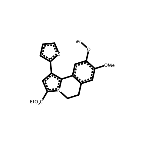 CCOC(=O)c1cc(-c2cccs2)c2n1CCc1cc(OC)c(OC(C)C)cc1-2